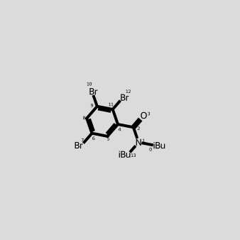 CCC(C)N(C(=O)c1cc(Br)cc(Br)c1Br)C(C)CC